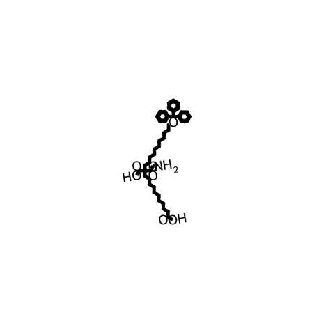 NOC(=O)C(CCCCCCCCCCCOC(c1ccccc1)(c1ccccc1)c1ccccc1)(CCCCCCCCCCC(=O)O)C(=O)O